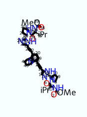 COC(=O)N[C@H](C(=O)N1CCC[C@@H]1c1ncc(C#Cc2ccc(C#Cc3cnc([C@@H]4CCCN4C(=O)[C@@H](NC(=O)OC)C(C)C)[nH]3)c3c2C2CCC3N2C)[nH]1)C(C)C